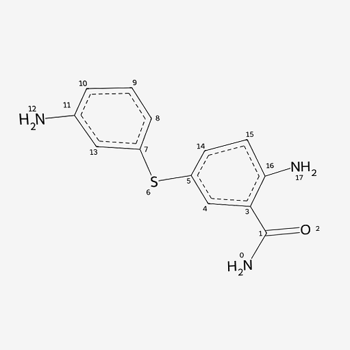 NC(=O)c1cc(Sc2cccc(N)c2)ccc1N